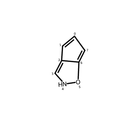 c1cc2c[nH]oc-2c1